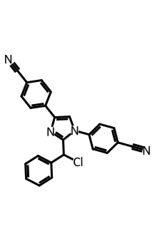 N#Cc1ccc(-c2cn(-c3ccc(C#N)cc3)c(C(Cl)c3ccccc3)n2)cc1